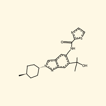 CC(C)(O)c1cc2nn([C@H]3CC[C@H](C)CC3)cc2cc1NC(=O)c1nccs1